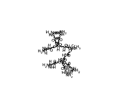 CC(C)NC(COCCC(=O)NCCC(=O)NC(COCCC(=O)NCCNC(=N)N)(COCCC(=O)NCCNC(=N)N)COCCC(=O)NCCNC(=N)N)COCCC(=O)NCCC(=O)NC(COCCC(=O)NCCNC(=N)N)(COCCC(=O)NCCNC(=N)N)COCCC(=O)NCCNC(=N)N